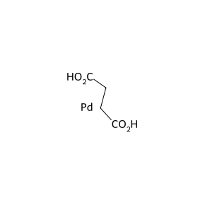 O=C(O)CCC(=O)O.[Pd]